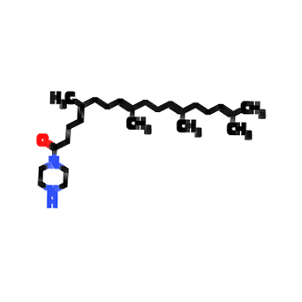 CC(C)=CCC/C(C)=C/CC/C(C)=C/CC/C(C)=C/CCC(=O)N1CCNCC1